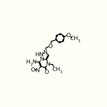 CCN1C(=O)C(N=O)=C(N)N2NN(COCc3ccc(OC)cc3)C=C12